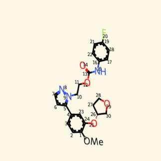 COc1ccc(-c2ccnn2CCOC(=O)Nc2ccc(F)cc2)cc1O[C@@H]1CCOC1